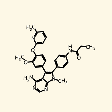 CCC(=O)Nc1ccc(-c2c(-c3ccc(Oc4cccc(C)n4)c(OC)c3)c3c(N)ncnc3n2C)cc1